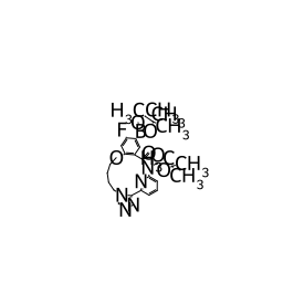 CC(C)(C)OC(=O)N1C(=O)c2cc(B3OC(C)(C)C(C)(C)O3)c(F)cc2OCCCCn2cnnc2-c2cccc1n2